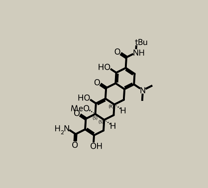 CO[C@@]12C(=O)C(C(N)=O)=C(O)C[C@@H]1C[C@@H]1Cc3c(N(C)C)cc(C(=O)NC(C)(C)C)c(O)c3C(=O)C1=C2O